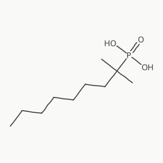 CCCCCCCC(C)(C)P(=O)(O)O